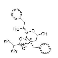 CCCC(CCC)C(=O)O[C@@H]1[C@@H](C(O)Cc2ccccc2)OC(O)C[C@]1(O)Cc1ccccc1